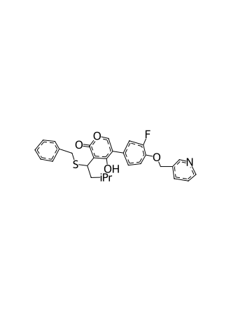 CC(C)CC(SCc1ccccc1)c1c(O)c(-c2ccc(OCc3cccnc3)c(F)c2)coc1=O